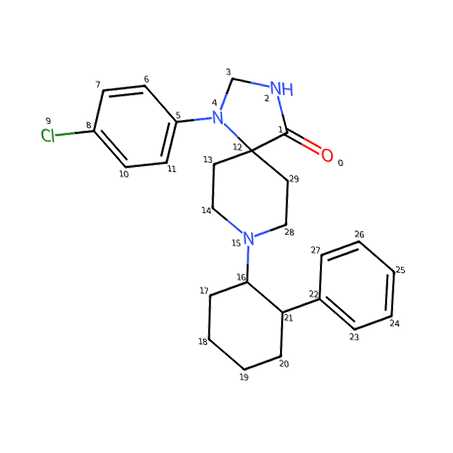 O=C1NCN(c2ccc(Cl)cc2)C12CCN(C1CCCCC1c1ccccc1)CC2